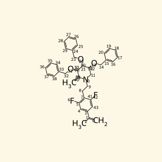 C=C(C)c1cc(F)c(CCN2C[C@H](OCc3ccccc3)[C@@H](OCc3ccccc3)[C@H](OCc3ccccc3)[C@H]2C)c(F)c1